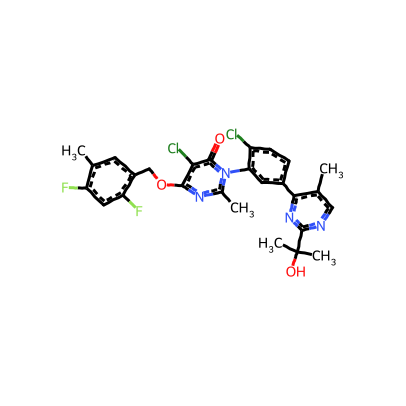 Cc1cc(COc2nc(C)n(-c3cc(-c4nc(C(C)(C)O)ncc4C)ccc3Cl)c(=O)c2Cl)c(F)cc1F